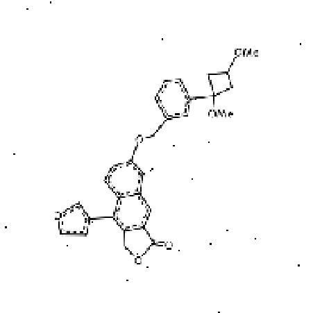 COC1CC(OC)(c2cccc(COc3ccc4c(-c5ccoc5)c5c(cc4c3)C(=O)OC5)c2)C1